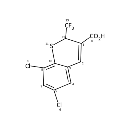 O=C(O)C1=Cc2cc(Cl)cc(Cl)c2SC1C(F)(F)F